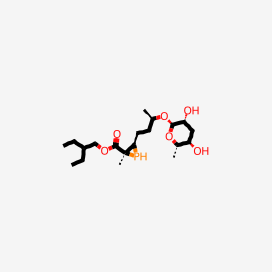 CCC(CC)COC(=O)[C@]1(C)P[C@@H]1CC[C@@H](C)O[C@@H]1O[C@@H](C)[C@H](O)C[C@H]1O